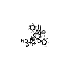 O=C(O)c1csc(NC(=O)C(Cc2ccccc2)N2C(=O)NC(c3ccccc3)C2=O)n1